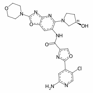 Nc1cc(-c2nc(C(=O)Nc3cc4oc(N5CCOCC5)nc4nc3N3CC[C@@H](O)C3)co2)c(Cl)cn1